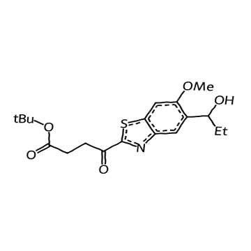 CCC(O)c1cc2nc(C(=O)CCC(=O)OC(C)(C)C)sc2cc1OC